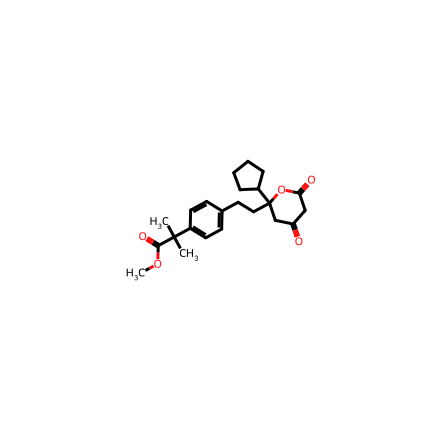 COC(=O)C(C)(C)c1ccc(CCC2(C3CCCC3)CC(=O)CC(=O)O2)cc1